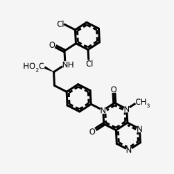 Cn1c(=O)n(-c2ccc(C[C@H](NC(=O)c3c(Cl)cccc3Cl)C(=O)O)cc2)c(=O)c2cncnc21